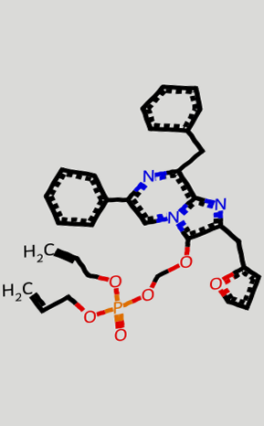 C=CCOP(=O)(OCC=C)OCOc1c(Cc2ccco2)nc2c(Cc3ccccc3)nc(-c3ccccc3)cn12